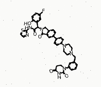 O=C1CCN(c2cccc(CN3CCN(c4ccc(-c5ccc6c(c5)C(=O)N(C(C(=O)Nc5nccs5)c5cc(F)ccc5O)C6)cc4)CC3)c2)C(=O)N1